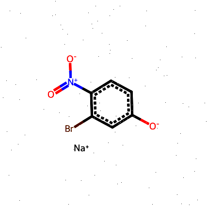 O=[N+]([O-])c1ccc([O-])cc1Br.[Na+]